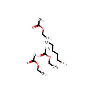 CCCCCC.CCOC(C)=O.CCOC(C)=O.CCOC(C)=O